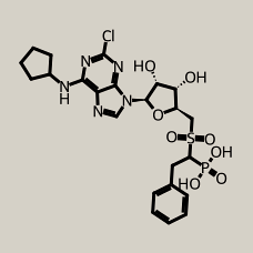 O=P(O)(O)C(Cc1ccccc1)S(=O)(=O)C[C@H]1O[C@@H](n2cnc3c(NC4CCCC4)nc(Cl)nc32)[C@H](O)[C@@H]1O